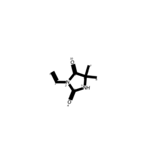 C=CN1C(=O)NC(C)(C)C1=O